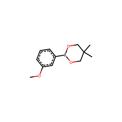 COc1cccc(B2OCC(C)(C)CO2)c1